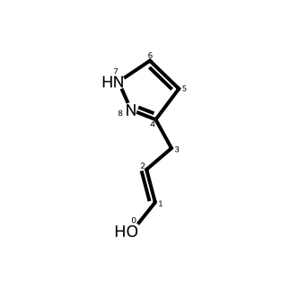 OC=CCc1cc[nH]n1